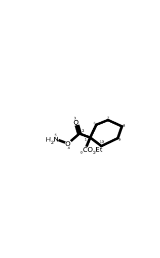 CCOC(=O)C1(C(=O)ON)CCCCC1